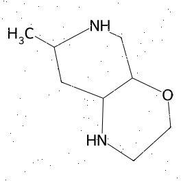 CC1CC2NCCOC2CN1